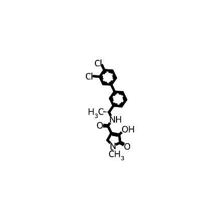 C[C@@H](NC(=O)C1=C(O)C(=O)N(C)C1)c1cccc(-c2ccc(Cl)c(Cl)c2)c1